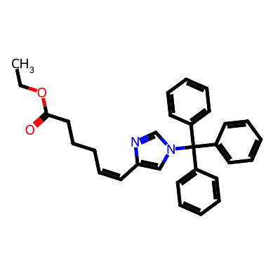 CCOC(=O)CCC/C=C\c1cn(C(c2ccccc2)(c2ccccc2)c2ccccc2)cn1